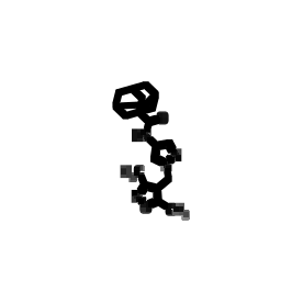 Cc1noc(C)c1Cn1cc(NC(=O)C23CC4CC(CC(C4)C2)C3)cn1